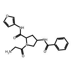 NCC(=O)N1CC(NC(=O)c2ccccc2)CC1C(=O)Nc1ccoc1